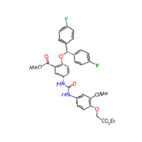 CCOC(=O)COc1ccc(NC(=O)Nc2ccc(OC(c3ccc(F)cc3)c3ccc(F)cc3)c(C(=O)OC)c2)cc1OC